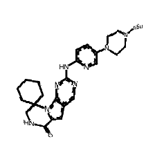 CCCCN1CCN(c2ccc(Nc3ncc4cc5n(c4n3)C3(CCCCC3)CNC5=O)nc2)CC1